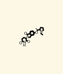 CCN1CCCC1[C@H](C)Oc1ccc2c(c1)CN(C1CCC(=O)NC1=O)C2=O